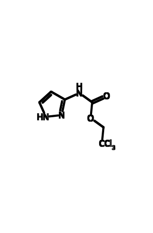 O=C(Nc1cc[nH]n1)OCC(Cl)(Cl)Cl